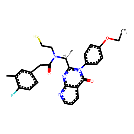 Cc1cc(CC(=O)N(CCS)[C@H](C)c2nc3ncccc3c(=O)n2-c2ccc(OCC(F)(F)F)cc2)ccc1F